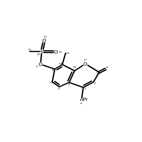 C=C1C=C(CCC)c2ccc(OS(C)(=O)=O)c(C)c2O1